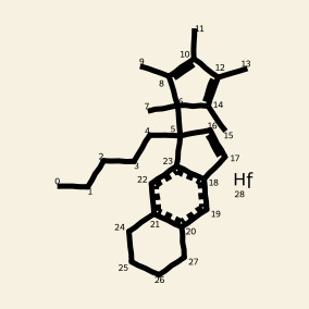 CCCCCC1(C2(C)C(C)=C(C)C(C)=C2C)C=Cc2cc3c(cc21)CCCC3.[Hf]